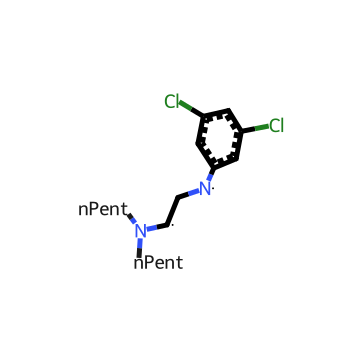 CCCCCN([CH]C[N]c1cc(Cl)cc(Cl)c1)CCCCC